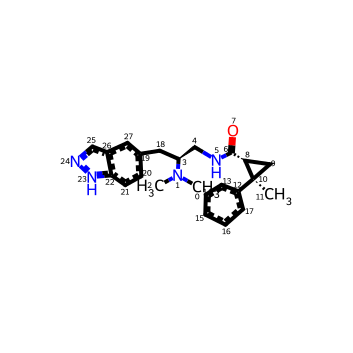 CN(C)[C@H](CNC(=O)[C@@H]1C[C@@]1(C)c1ccccc1)Cc1ccc2[nH]ncc2c1